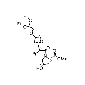 CCOC(COc1cc([C@@H](C(=O)N2C[C@H](O)C[C@H]2C(=O)OC)C(C)C)on1)OCC